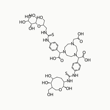 O=C(O)CN1CCN(C(C(=O)O)c2ccc(NC(=S)NCC(CO)OC(CO)[C@@H](O)C(O)O)cc2)CCN(C(C(=O)O)c2ccc(NC(=S)NC3CCC(O)[C@H](O)C(CO)CO[C@@H]3O)cc2)CC1